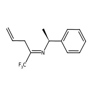 C=CC/C(=N\[C@@H](C)c1ccccc1)C(F)(F)F